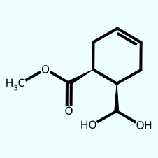 COC(=O)[C@H]1CC=CC[C@H]1C(O)O